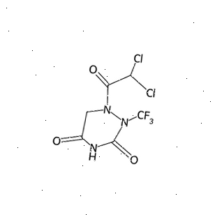 O=C1CN(C(=O)C(Cl)Cl)N(C(F)(F)F)C(=O)N1